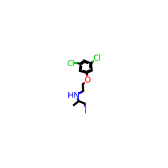 CC(CI)NCCOc1cc(Cl)cc(Cl)c1